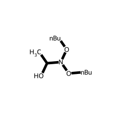 CCCCON(OCCCC)C(C)O